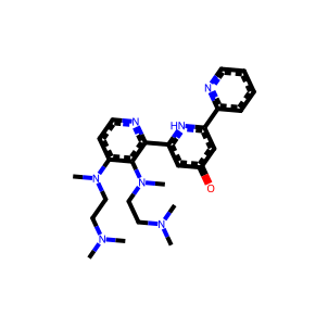 CN(C)CCN(C)c1ccnc(-c2cc(=O)cc(-c3ccccn3)[nH]2)c1N(C)CCN(C)C